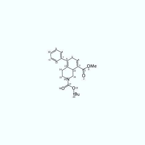 COC(=O)C1=CCC(c2ccccc2)=C2CCN(C(=O)OC(C)(C)C)CC12